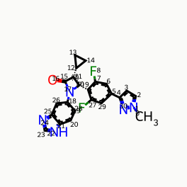 Cn1ccc(-c2cc(F)c([C@H]3[C@@H](C4CC4)C(=O)N3c3ccc4[nH]cnc4c3)c(F)c2)n1